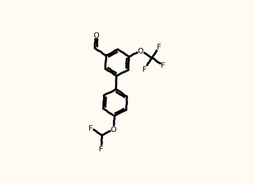 O=Cc1cc(OC(F)(F)F)cc(-c2ccc(OC(F)F)cc2)c1